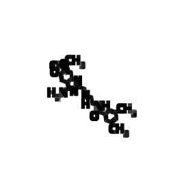 COc1cc2nc(CNCCNC(=O)c3cc(C)cc(C)c3)nc(N)c2cc1OC